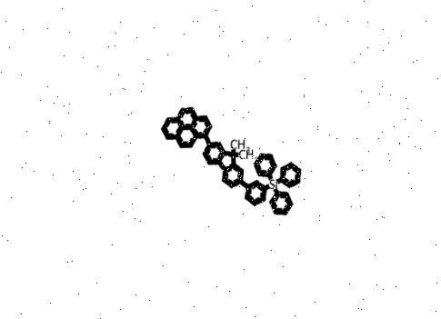 CC1(C)c2cc(-c3cccc([Si](c4ccccc4)(c4ccccc4)c4ccccc4)c3)ccc2-c2ccc(-c3ccc4ccc5cccc6ccc3c4c56)cc21